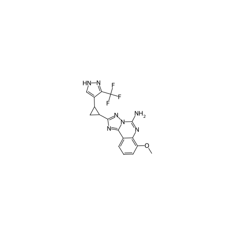 COc1cccc2c1nc(N)n1nc(C3CC3c3c[nH]nc3C(F)(F)F)nc21